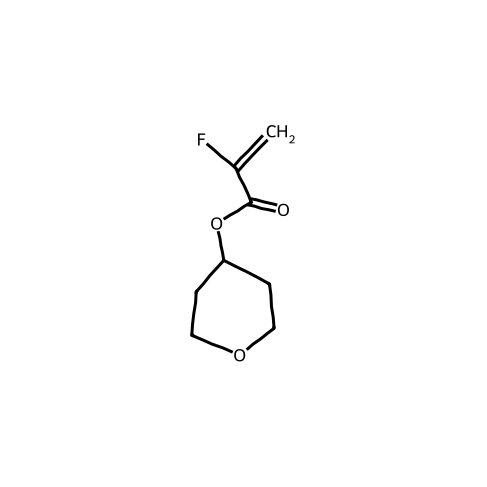 C=C(F)C(=O)OC1CCOCC1